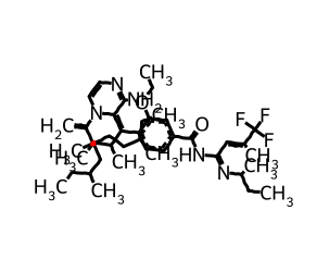 C=C(N1C=CN=C(N)/C1=C(\c1ccc(C(=O)NC(/C=C(\C)C(F)(F)F)=N/C(C)CC)cc1OCC)C(C)CC)C(C)(CCC(C)CC)CC(C)CC